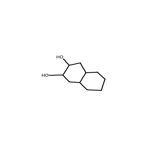 OC1CC2CCCCC2CC1O